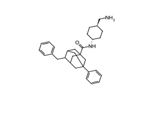 NC[C@H]1CC[C@H](NC(=O)C23CC4CC(c5ccccc5)(CC(C2)C4Cc2ccccc2)C3)CC1